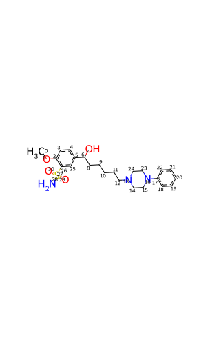 COc1ccc(C(O)CCCCCN2CCN(c3ccccc3)CC2)cc1S(N)(=O)=O